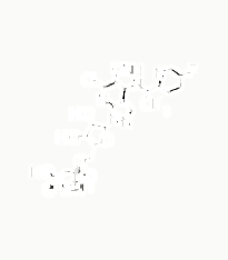 C[C@@H](Nc1c(C#N)c(Cl)nc2c1cnn2[C@@H]1O[C@H](COP(=O)(O)CP(=O)(O)O)[C@@H](O)[C@H]1O)c1ccc(F)cn1